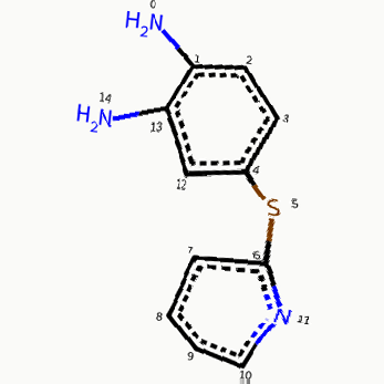 Nc1ccc(Sc2ccccn2)cc1N